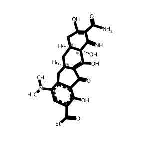 CCC(=O)c1cc(N(C)C)c2c(c1O)C(=O)C1=C(O)[C@]3(O)C(=N)C(C(N)=O)=C(O)C[C@@H]3C[C@@H]1C2